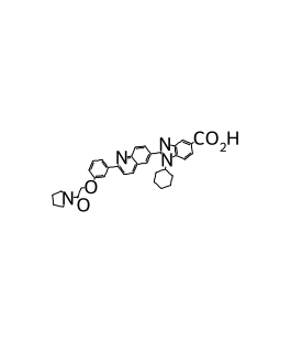 O=C(O)c1ccc2c(c1)nc(-c1ccc3nc(-c4cccc(OCC(=O)N5CCCC5)c4)ccc3c1)n2C1CCCCC1